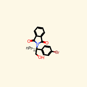 CCC[C@@](CO)(c1ccc(Br)cc1)N1C(=O)c2ccccc2C1=O